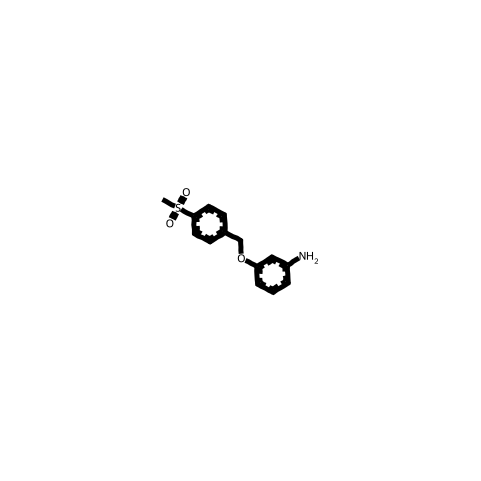 CS(=O)(=O)c1ccc(COc2cccc(N)c2)cc1